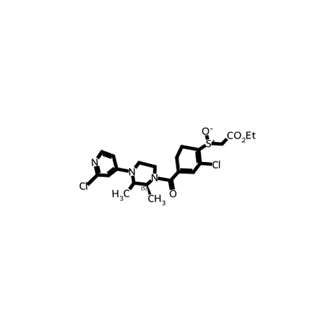 CCOC(=O)C[S+]([O-])C1=C(Cl)C=C(C(=O)N2CCN(c3ccnc(Cl)c3)C(C)[C@@H]2C)CC1